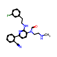 CNCCN(C=O)c1ccc(-c2ccccc2C#N)nc1NCCc1cccc(F)c1